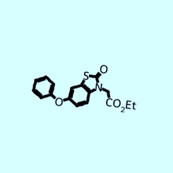 CCOC(=O)Cn1c(=O)sc2cc(Oc3ccccc3)ccc21